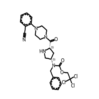 N#Cc1ccccc1N1CCN(C(=O)[C@@H]2C[C@H](N(Cc3ccccc3)C(=O)OCC(Cl)(Cl)Cl)CN2)CC1